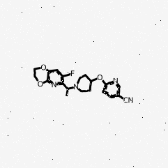 CC(c1nc2c(cc1F)OCCO2)N1CCC(Oc2ccc(C#N)cn2)CC1